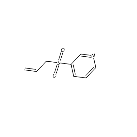 C=CCS(=O)(=O)c1[c]nccc1